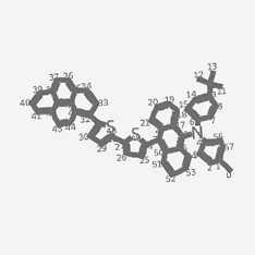 Cc1ccc(N(c2ccc(C(C)(C)C)cc2)c2c3ccccc3c(-c3ccc(-c4ccc(-c5ccc6ccc7cccc8ccc5c6c78)s4)s3)c3ccccc23)cc1